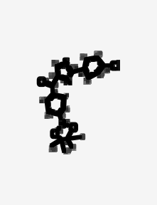 CC1(C)OB(c2ccc(C(=O)c3csc(-c4ccc(Cl)cc4)n3)cc2)OC1(C)C